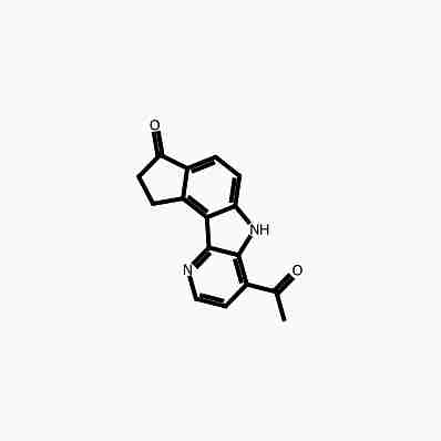 CC(=O)c1ccnc2c1[nH]c1ccc3c(c12)CCC3=O